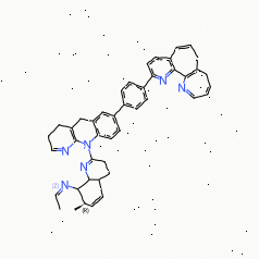 C/C=N\C1C2N=C(N3C4=C(CCC=N4)Cc4cc(-c5ccc(-c6ccc7c(n6)C6=C(CC=CC=N6)CC=C7)cc5)ccc43)CCC2C=C[C@H]1C